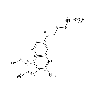 CCCc1nc2c(N)nc3cc(OCCCNC(=O)O)ccc3c2n1CC(C)C